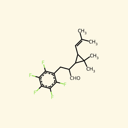 CC(C)=CC1C(C(C=O)Cc2c(F)c(F)c(F)c(F)c2F)C1(C)C